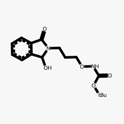 CC(C)(C)OC(=O)NOCCCN1C(=O)c2ccccc2C1O